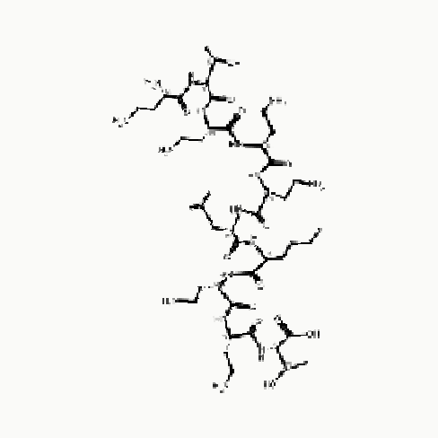 CCCC[C@H](NC(=O)[C@@H](CC(C)C)NC(=O)[C@H](CCN)NC(=O)[C@H](CCN)NC(=O)[C@H](CCN)NC(=O)[C@@H](NC(=O)[C@@H](N)CCN)[C@@H](C)O)C(=O)N[C@@H](CCN)C(=O)N[C@@H](CCN)C(=O)N[C@H](C(=O)O)[C@@H](C)O